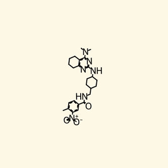 Cc1ccc(C(=O)NCC2CCC(Nc3nc4c(c(N(C)C)n3)CCCC4)CC2)cc1[N+](=O)[O-]